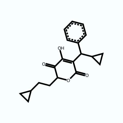 O=C1OC(CCC2CC2)C(=O)C(O)=C1C(c1ccccc1)C1CC1